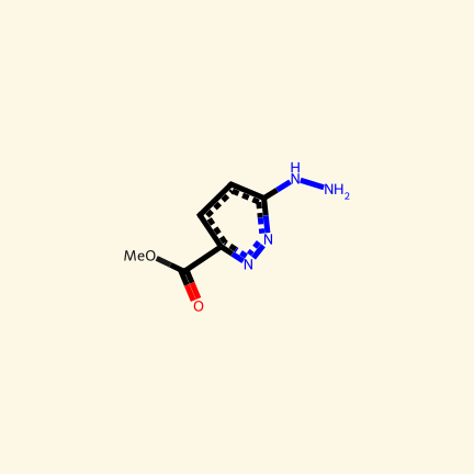 COC(=O)c1ccc(NN)nn1